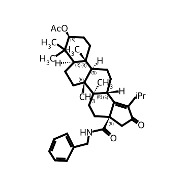 CC(=O)O[C@H]1CC[C@]2(C)[C@H]3CC[C@@H]4C5=C(C(C)C)C(=O)C[C@]5(C(=O)NCc5ccccc5)CC[C@@]4(C)[C@]3(C)CC[C@H]2C1(C)C